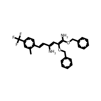 Cc1cc(C(F)(F)F)ccc1/C=C/C(N)=C/C(OCc1ccccc1)=C(\N)OCc1ccccc1